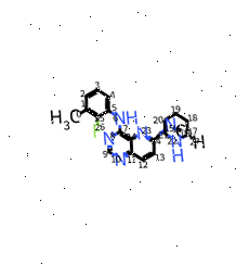 Cc1cccc(Nc2ncnc3ccc(N4C[C@@H]5CCC4CN5)nc23)c1F